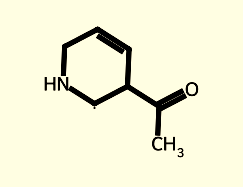 CC(=O)C1[CH]NCC=C1